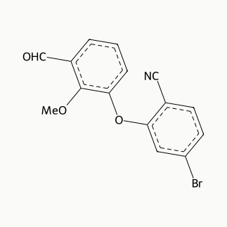 COc1c(C=O)cccc1Oc1cc(Br)ccc1C#N